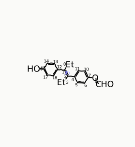 CC/C(=C(/CC)c1ccc(OC=O)cc1)c1ccc(O)cc1